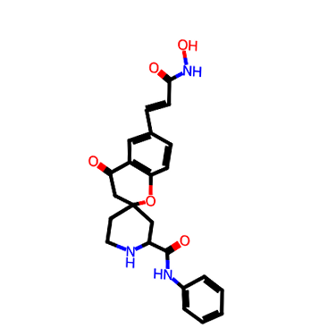 O=C(C=Cc1ccc2c(c1)C(=O)CC1(CCNC(C(=O)Nc3ccccc3)C1)O2)NO